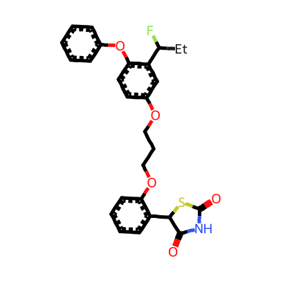 CCC(F)c1cc(OCCCOc2ccccc2C2SC(=O)NC2=O)ccc1Oc1ccccc1